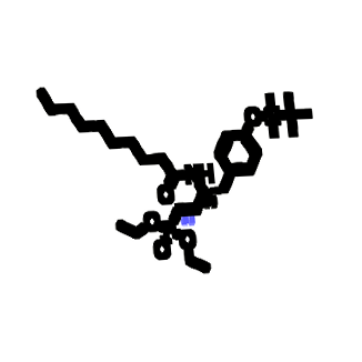 CCCCCCCCCC(=O)N[C@@H](/C=C/P(=O)(OCC)OCC)Cc1ccc(O[Si](C)(C)C(C)(C)C)cc1